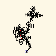 C/C=C\CCCC(C)(C)COCc1cn(CC(=O)N[C@H]2[C@H](O[C@@H]3C[C@H](C(=O)NCCNC(=O)COCCOCC(=O)Nc4cc(S(=O)(=O)O)cc5cc(S(=O)(=O)O)cc(S(=O)(=O)O)c45)C[C@H](NC(=O)c4cc(=O)[nH]c(=O)[nH]4)[C@H]3O[C@@H]3O[C@@H](C)[C@@H](O)[C@@H](O)[C@H]3O)O[C@H](CO)[C@H](O)[C@@H]2O[C@@H](CC2CCCCC2)C(=O)O)nn1